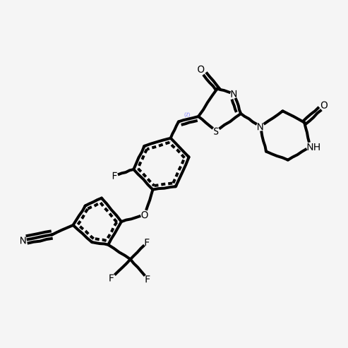 N#Cc1ccc(Oc2ccc(/C=C3\SC(N4CCNC(=O)C4)=NC3=O)cc2F)c(C(F)(F)F)c1